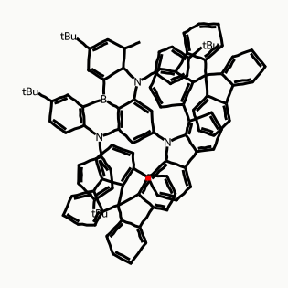 CC1C=C(C(C)(C)C)C=C2B3c4cc(C(C)(C)C)ccc4N(c4ccc(C(C)(C)C)cc4)c4cc(-n5c6c(-c7cccc8c7C7(c9ccccc9-c9ccccc97)c7ccccc7-8)cccc6c6cccc(-c7cccc8c7C7(c9ccccc9-c9ccccc97)c7ccccc7-8)c65)cc(c43)N(c3ccc(C(C)(C)C)cc3)C21